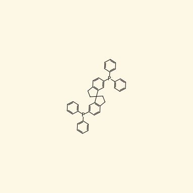 c1ccc(P(c2ccccc2)c2ccc3c(c2)C2(CC3)CCc3ccc(P(c4ccccc4)c4ccccc4)cc32)cc1